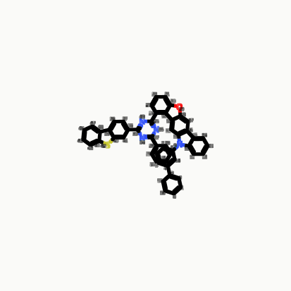 c1ccc(-c2cccc(-n3c4ccccc4c4cc5oc6cccc(-c7nc(-c8ccccc8)nc(-c8ccc9c(c8)sc8ccccc89)n7)c6c5cc43)c2)cc1